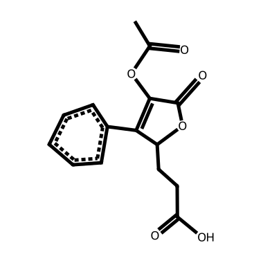 CC(=O)OC1=C(c2ccccc2)C(CCC(=O)O)OC1=O